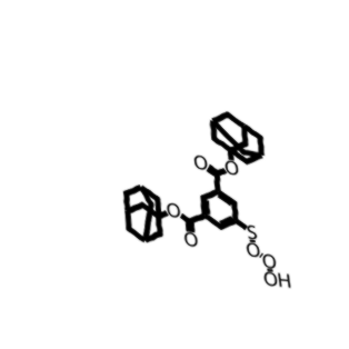 O=C(OC12CC3CC(CC(C3)C1)C2)c1cc(SOOO)cc(C(=O)OC23CC4CC(CC(C4)C2)C3)c1